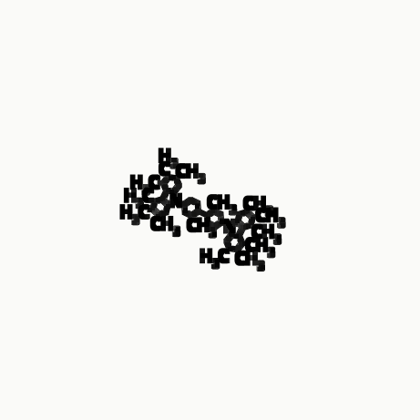 Cc1cc(-n2c3cc(C)c(C)c(C)c3c3c(C)c(C)c(C)cc32)ccc1-c1ccc(-n2c3cc(C)c(C)c(C)c3c3c(C)c(C)c(C)cc32)cc1C